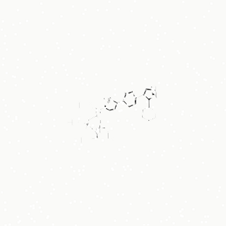 CN(c1ccc(-c2ccc(-c3c[nH]nc3C3CCCCO3)c(F)c2F)nn1)C1CC(C)(C)NC(C)(C)C1